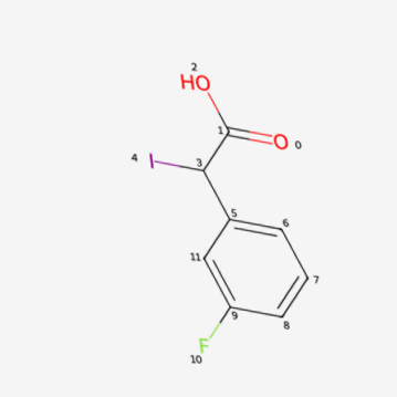 O=C(O)C(I)c1cccc(F)c1